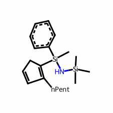 CCCCCC1=C([Si](C)(N[Si](C)(C)C)c2ccccc2)CC=C1